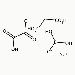 O=C(O)C(=O)O.O=C(O)CC(=O)O.[Na+].[O-]B(O)O